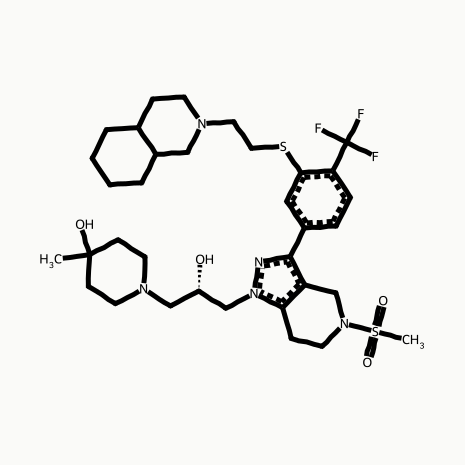 CC1(O)CCN(C[C@H](O)Cn2nc(-c3ccc(C(F)(F)F)c(SCCN4CCC5CCCCC5C4)c3)c3c2CCN(S(C)(=O)=O)C3)CC1